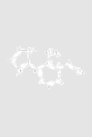 Cc1c(C=O)cccc1-c1ncco1